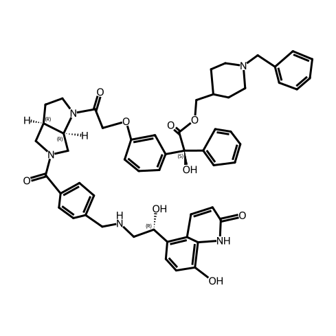 O=C(c1ccc(CNC[C@H](O)c2ccc(O)c3[nH]c(=O)ccc23)cc1)N1C[C@H]2CCN(C(=O)COc3cccc([C@](O)(C(=O)OCC4CCN(Cc5ccccc5)CC4)c4ccccc4)c3)[C@H]2C1